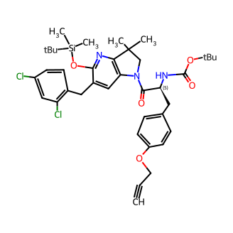 C#CCOc1ccc(C[C@H](NC(=O)OC(C)(C)C)C(=O)N2CC(C)(C)c3nc(O[Si](C)(C)C(C)(C)C)c(Cc4ccc(Cl)cc4Cl)cc32)cc1